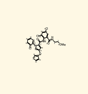 COCCNC(=O)c1cc(Cl)cc(Cl)c1NC(=O)c1cc(Oc2ccsc2)nn1-c1ncccc1Cl